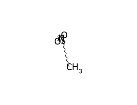 CCCCCCCCCCCCSN1C(=O)CCC1=O